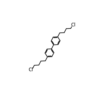 ClCCCCc1ccc(-c2ccc(CCCCCl)cc2)cc1